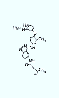 Cc1cc(Nc2ncnc3ccc(NC(=O)C#CC4(C)CC4)cc23)ccc1Oc1cc[nH]/c(=N\C=N)c1